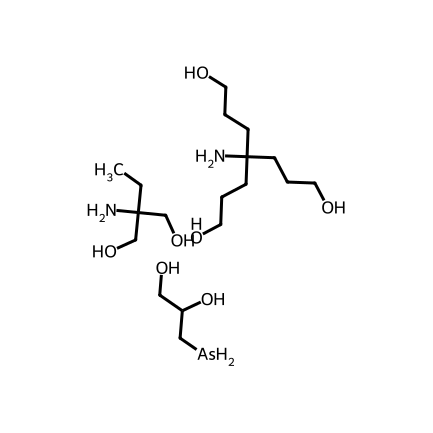 CCC(N)(CO)CO.NC(CCCO)(CCCO)CCCO.OCC(O)C[AsH2]